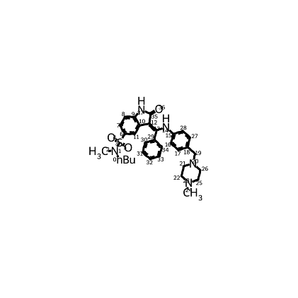 CCCCN(C)S(=O)(=O)c1ccc2c(c1)/C(=C(/Nc1ccc(CN3CCN(C)CC3)cc1)c1ccccc1)C(=O)N2